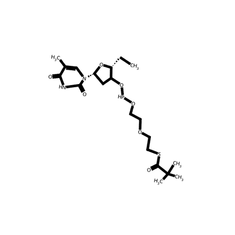 CC[C@H]1O[C@@H](n2cc(C)c(=O)[nH]c2=O)CC1OPOCCOCCSC(=O)C(C)(C)C